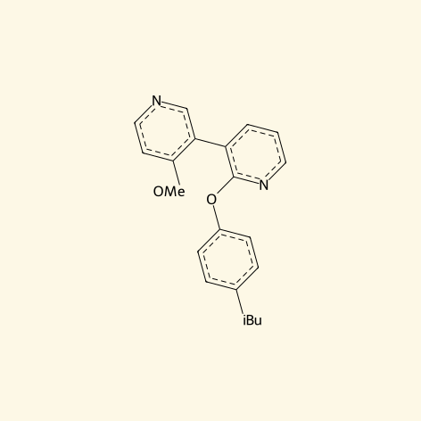 CCC(C)c1ccc(Oc2ncccc2-c2cnccc2OC)cc1